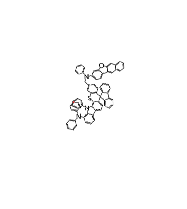 c1ccc(N(Cc2ccc3c(c2)Sc2c(ccc4c5cccc(N(c6ccccc6)c6ccccc6)c5n(-c5ccccc5)c24)C32c3ccccc3-c3ccccc32)c2ccc3c(c2)oc2cc4ccccc4cc23)cc1